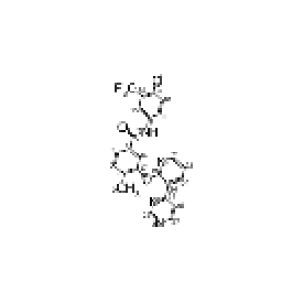 Cc1ccc(C(=O)Nc2ccc(Cl)c(C(F)(F)F)c2)cc1Oc1ncccc1-c1ccncn1